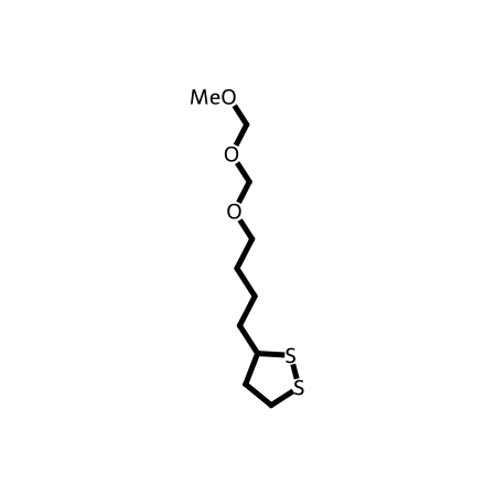 COCOCOCCCCC1CCSS1